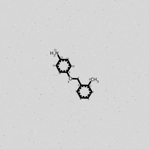 Cc1ccccc1COc1ccc(N)cc1